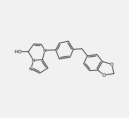 OC1C=CN(c2ccc(Cc3ccc4c(c3)OCO4)cc2)c2ccnn21